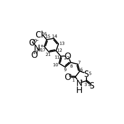 O=C1NC(=S)S/C1=C/c1ccc(-c2ccc(Cl)c([N+](=O)[O-])c2)o1